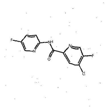 O=C(Nc1ccc(F)cn1)c1cc(Cl)c(F)cn1